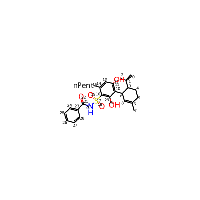 C=C(C)C1CCC(C)=CC1c1c(O)cc(CCCCC)c(S(=O)(=O)NC(=O)c2ccccc2)c1O